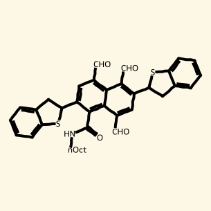 CCCCCCCCNC(=O)c1c(C2Cc3ccccc3S2)cc(C=O)c2c(C=O)c(C3Cc4ccccc4S3)cc(C=O)c12